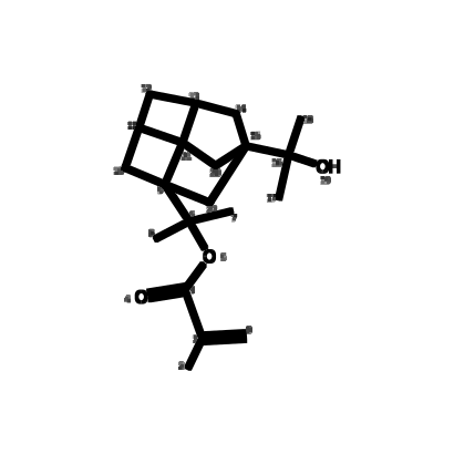 C=C(C)C(=O)OC(C)(C)C12CC3CC4CC(C(C)(C)O)(CC431)C2